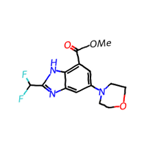 COC(=O)c1cc(N2CCOCC2)cc2nc(C(F)F)[nH]c12